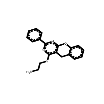 NCCSc1nc(-c2ccccc2)nc2c1Cc1ccccc1O2